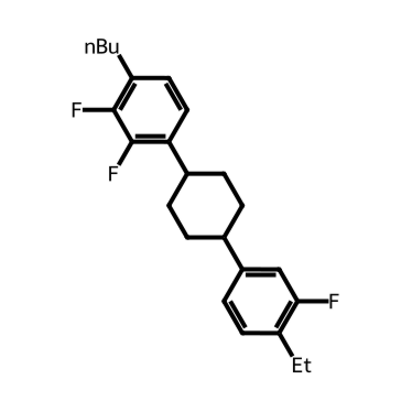 CCCCc1ccc(C2CCC(c3ccc(CC)c(F)c3)CC2)c(F)c1F